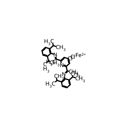 C/C(=N\c1c(C(C)C)cccc1C(C)C)c1cccc(/C(C)=N/c2c(C(C)C)cccc2C(C)C)n1.[Cl-].[Cl-].[Fe+2]